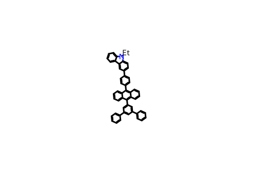 CCn1c2ccccc2c2cc(-c3ccc(-c4c5ccccc5c(-c5cc(-c6ccccc6)cc(-c6ccccc6)c5)c5ccccc45)cc3)ccc21